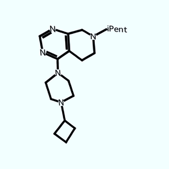 CCCC(C)N1CCc2c(ncnc2N2CCN(C3CCC3)CC2)C1